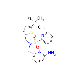 CCC(C)(C)c1ccc(CN(Cc2cccc(N)n2)S(=O)(=O)c2ccccn2)s1